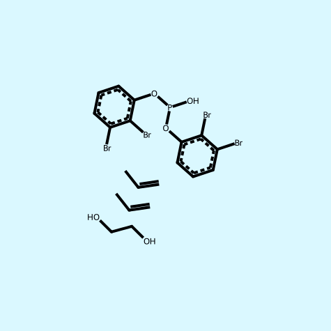 C=CC.C=CC.OCCO.OP(Oc1cccc(Br)c1Br)Oc1cccc(Br)c1Br